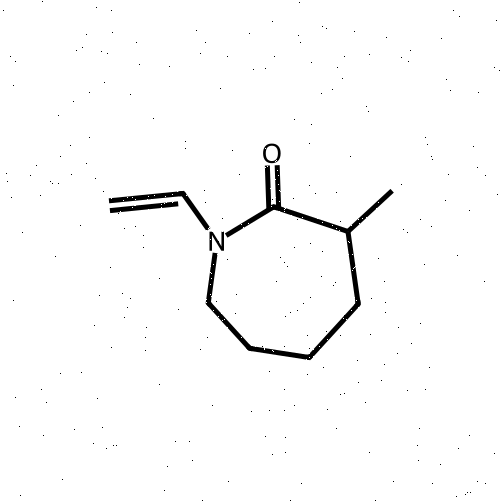 C=CN1CCCCC(C)C1=O